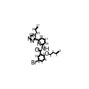 C=CCCOc1ccc(Br)cc1C(=O)Nc1cccc(-c2nncn2CC=C)n1